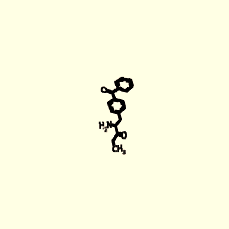 CCC(=O)C(N)Cc1ccc(C(=O)c2ccccc2)cc1